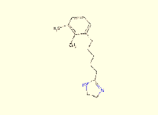 Cc1cccc(CCCCCC2=NCCN2)c1C